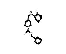 CC(=O)N(CC1=CCN(C(=O)OCc2ccccc2)CC1)c1ccccc1I